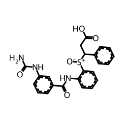 NC(=O)Nc1cccc(C(=O)Nc2ccccc2[S+]([O-])C(CC(=O)O)c2ccccc2)c1